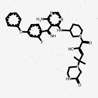 CC(C)(/C=C(\C#N)C(=O)N1CCCC(Nc2ncnc(N)c2C(=N)c2ccc(Oc3ccccc3)cc2F)C1)N1CCNC(=O)C1